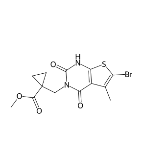 COC(=O)C1(Cn2c(=O)[nH]c3sc(Br)c(C)c3c2=O)CC1